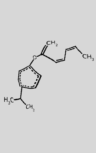 C=C(/C=C\C=C/C)Oc1ccc(C(C)C)cc1